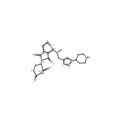 CN(Cc1cn(C2CCNCC2)nn1)c1cccc2c1C(=O)N(C1CCC(=O)NC1=O)C2=O